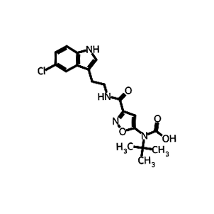 CC(C)(C)N(C(=O)O)c1cc(C(=O)NCCc2c[nH]c3ccc(Cl)cc23)no1